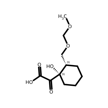 COCOC[C@@H]1CCCC[C@@]1(O)C(=O)C(=O)O